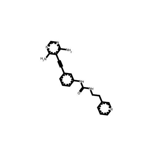 Nc1ncnc(N)c1C#Cc1cccc(NC(=O)NCCc2cccnc2)c1